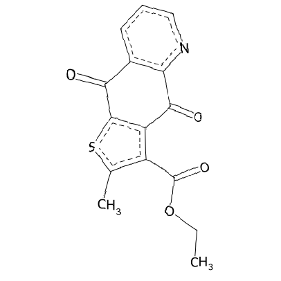 CCOC(=O)c1c(C)sc2c1C(=O)c1ncccc1C2=O